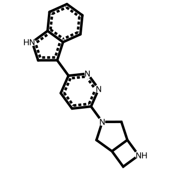 c1ccc2c(-c3ccc(N4CC5CNC5C4)nn3)c[nH]c2c1